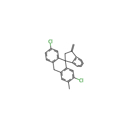 C=C1CC2(c3cc(Cl)ccc3Cc3cc(C)c(Cl)cc32)c2ccccc21